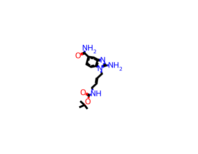 CC(C)(C)OC(=O)NCC=CCn1c(N)nc2cc(C(N)=O)ccc21